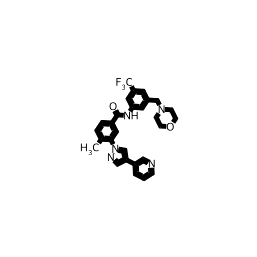 Cc1ccc(C(=O)Nc2cc(CN3CCOCC3)cc(C(F)(F)F)c2)cc1-n1cc(-c2cccnc2)cn1